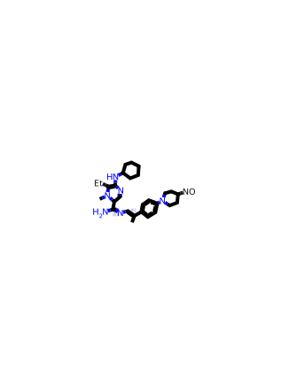 CCC1=C(NC2CCCCC2)N=CC(/C(N)=N\C=C(/C)c2ccc(N3CCC(N=O)CC3)cc2)N1C